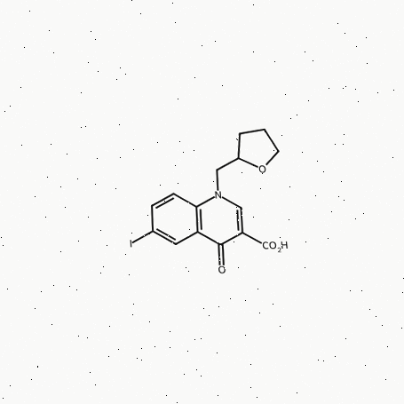 O=C(O)c1cn(CC2CCCO2)c2ccc(I)cc2c1=O